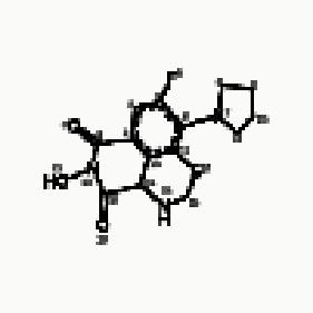 O=C1c2cc(F)c(N3CCCC3)c3c2C(NCS3)C(=O)N1O